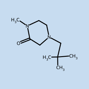 CN1CCN(CC(C)(C)C)CC1=O